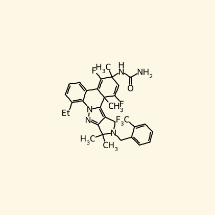 CCc1cccc2c1-n1nc3c(c1C1(C)C(F)=CC(C)(NC(N)=O)C(F)=C21)CN(Cc1ccccc1C(F)(F)F)C3(C)C